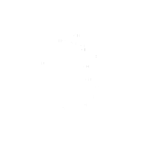 Cc1cc([PH](O)(O)O)c(C(C)(C)C)cc1Sc1cc(C)c(O)c(C(C)(C)C)c1